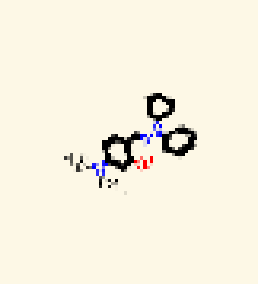 CN(C)c1ccc(/C=N/N(c2ccccc2)c2ccccc2)c(O)c1